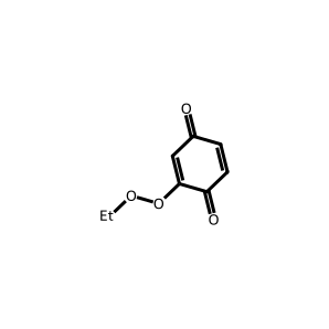 CCOOC1=CC(=O)C=CC1=O